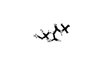 CC(C)(C)OC(=O)[C@@H](CC(F)(F)CN)C(=O)O